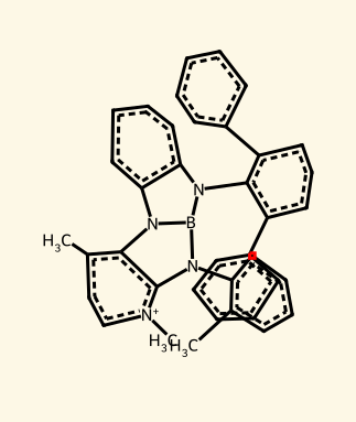 Cc1ccccc1N1B2N(c3c(-c4ccccc4)cccc3-c3ccccc3)c3ccccc3N2c2c(C)cc[n+](C)c21